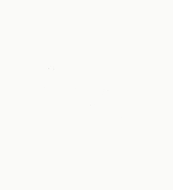 Cc1ccc(S(=O)(=O)CCc2ccc(Cl)c(Cl)c2)cc1